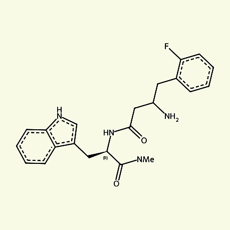 CNC(=O)[C@@H](Cc1c[nH]c2ccccc12)NC(=O)CC(N)Cc1ccccc1F